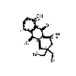 O=C1C2=CC(CBr)(CBr)CC(O)=C2C(=O)c2c(O)cccc21